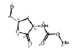 CC(C)(C)OC(=O)N[C@H]1C[C@@H](CBr)OC1=O